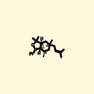 CC(C)=CC[C@]1(C)C[C@H](C)[C@H]2[C@H](C1)C(C)(C)ON2C(C)C